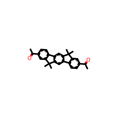 CC(=O)c1ccc2c(c1)C(C)(C)c1cc3c(cc1-2)C(C)(C)c1cc(C(C)=O)ccc1-3